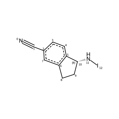 N#Cc1ccc2c(c1)CC[C@H]2NI